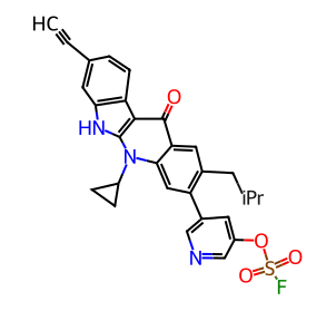 C#Cc1ccc2c(c1)[nH]c1c2c(=O)c2cc(CC(C)C)c(-c3cncc(OS(=O)(=O)F)c3)cc2n1C1CC1